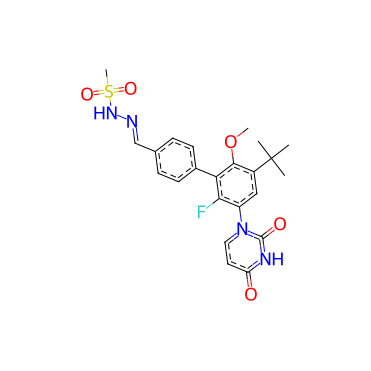 COc1c(C(C)(C)C)cc(-n2ccc(=O)[nH]c2=O)c(F)c1-c1ccc(C=NNS(C)(=O)=O)cc1